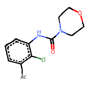 CC(=O)c1cccc(NC(=O)N2CCOCC2)c1Cl